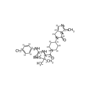 CSC(C)(C)[C@@H](NC(=O)Nc1ccc(Cl)cc1)C(=O)N1CCC(N2Cc3cnc(C)n3C2=O)CC1